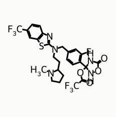 CN1CCCC1CCN(Cc1ccc(C2(OC(=O)C(F)(F)F)NOC(=O)N2)c(F)c1)c1nc2ccc(C(F)(F)F)cc2s1